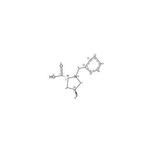 O=C(O)[C@H]1C[C@H](F)CN1Cc1ccccc1